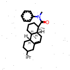 CC(C)C1CC[C@H]2C(=CC[C@@H]3[C@]2(C)CCC[C@@]3(C)C(=O)N(C)c2ccccc2)C1